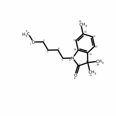 COCCCCN1C(=O)C(C)(C)c2ccc(C)cc21